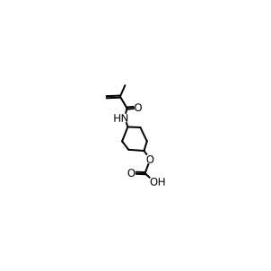 C=C(C)C(=O)NC1CCC(OC(=O)O)CC1